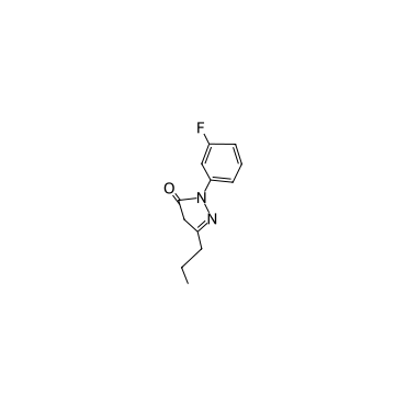 CCCC1=NN(c2cccc(F)c2)C(=O)C1